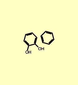 Oc1ccccc1O.c1ccccc1